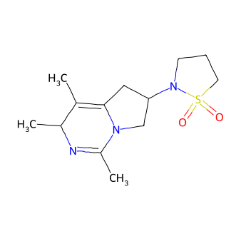 CC1=NC(C)C(C)=C2CC(N3CCCS3(=O)=O)CN12